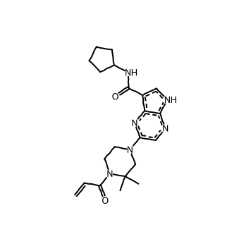 C=CC(=O)N1CCN(c2cnc3[nH]cc(C(=O)NC4CCCC4)c3n2)CC1(C)C